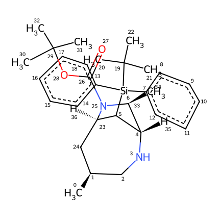 C[C@@H]1CN[C@@H]2C([Si](c3ccccc3)(c3ccccc3)C(C)(C)C)[C@@H](C1)N(C(=O)OC(C)(C)C)[C@H]2C